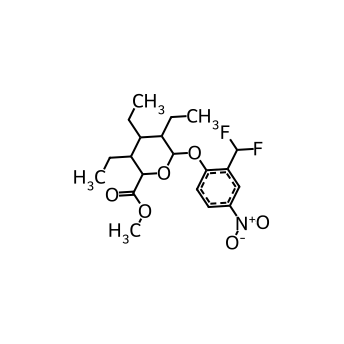 CCC1C(Oc2ccc([N+](=O)[O-])cc2C(F)F)OC(C(=O)OC)C(CC)C1CC